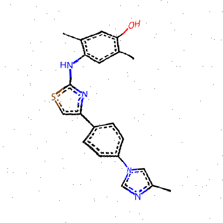 Cc1cn(-c2ccc(-c3csc(Nc4cc(C)c(O)cc4C)n3)cc2)cn1